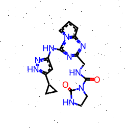 O=C1NCCN1C(=O)NCc1nc(Nc2cc(C3CC3)[nH]n2)n2cccc2n1